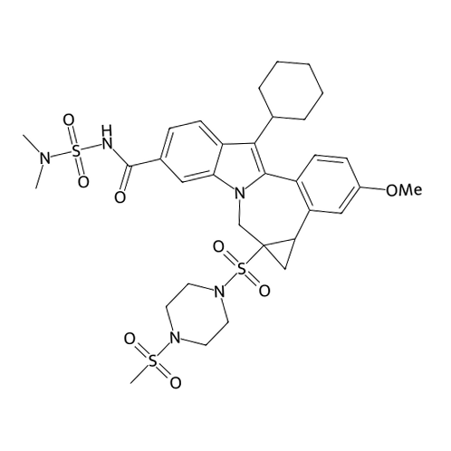 COc1ccc2c(c1)C1CC1(S(=O)(=O)N1CCN(S(C)(=O)=O)CC1)Cn1c-2c(C2CCCCC2)c2ccc(C(=O)NS(=O)(=O)N(C)C)cc21